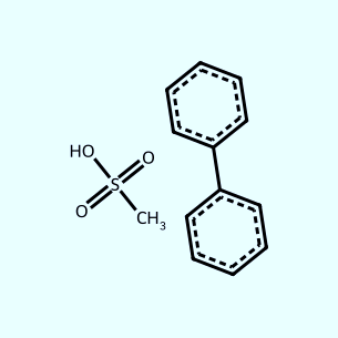 CS(=O)(=O)O.c1ccc(-c2ccccc2)cc1